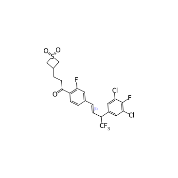 O=C(CCC1CS(=O)(=O)C1)c1ccc(/C=C/C(c2cc(Cl)c(F)c(Cl)c2)C(F)(F)F)cc1F